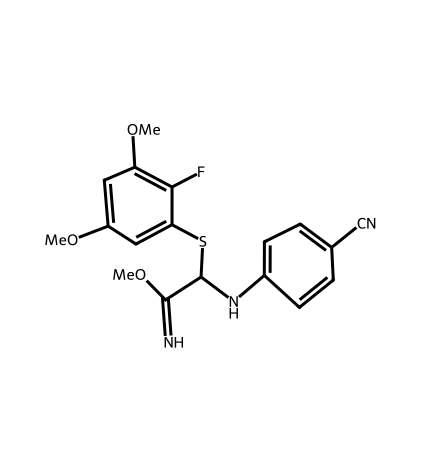 COC(=N)C(Nc1ccc(C#N)cc1)Sc1cc(OC)cc(OC)c1F